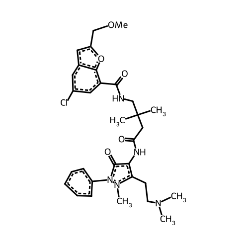 COCc1cc2cc(Cl)cc(C(=O)NCC(C)(C)CC(=O)Nc3c(CCN(C)C)n(C)n(-c4ccccc4)c3=O)c2o1